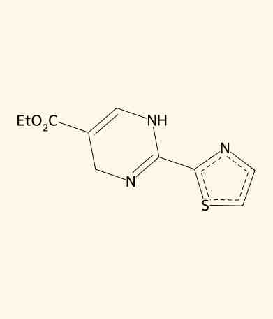 CCOC(=O)C1=CNC(c2nccs2)=NC1